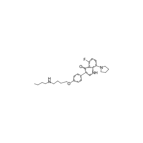 CCCCNCCCCOc1ccc(-c2c[nH]c3c(N4CCCC4)ccc(F)c3c2=O)cc1